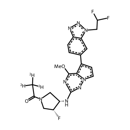 [2H]C([2H])([2H])C(=O)N1C[C@@H](F)[C@@H](Nc2nc(OC)c3c(-c4ccc5nnn(CC(F)F)c5c4)ccn3n2)C1